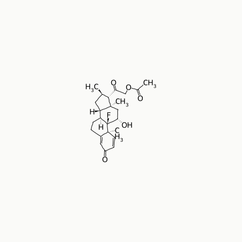 CC(=O)OCC(=O)[C@H]1[C@H](C)C[C@H]2[C@@H]3CCC4=CC(=O)C=C[C@]4(C)[C@@]3(F)[C@@H](O)C[C@@]21C